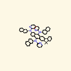 CC1(C)c2ccccc2-c2cc3c(N(c4ccc5ccccc5c4)c4ccccn4)c4cc(N(c5ccc6ccccc6c5)c5ccccn5)ccc4c(N(c4ccc5ccccc5c4)c4ccccn4)c3cc21